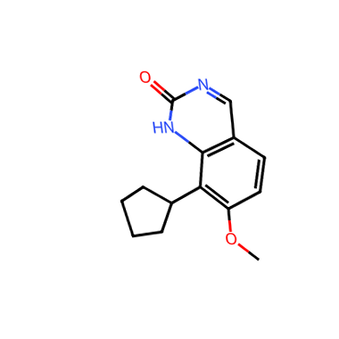 COc1ccc2cnc(=O)[nH]c2c1C1CCCC1